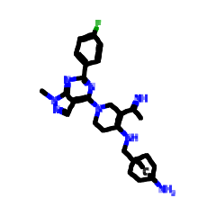 CC(=N)C1=C(NCC23CCC(N)(CC2)CC3)CCN(c2nc(-c3ccc(F)cc3)nc3c2cnn3C)C1